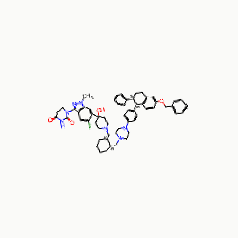 Cn1nc(N2CCC(=O)NC2=O)c2cc(F)c(C3(O)CCN(C[C@@H]4CCCC[C@H]4CN4CCN(c5ccc([C@@H]6c7ccc(OCc8ccccc8)cc7CC[C@@H]6c6ccccc6)cc5)CC4)CC3)cc21